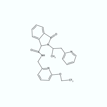 CC(Cc1ccccn1)N1C(=O)c2ccccc2C1C(=O)NCc1cccc(OCC(F)(F)F)n1